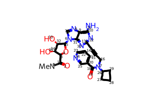 CNC(=O)C1OC(n2cnc3c(N)nc(C#CCN(C(=O)c4cccnc4)C4CCC4)nc32)[C@H](O)[C@@H]1O